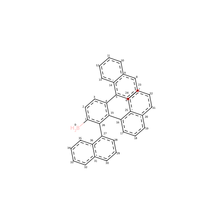 Bc1ccc(-c2cccc3ccccc23)c(-c2cccc3ccccc23)c1-c1cccc2ccccc12